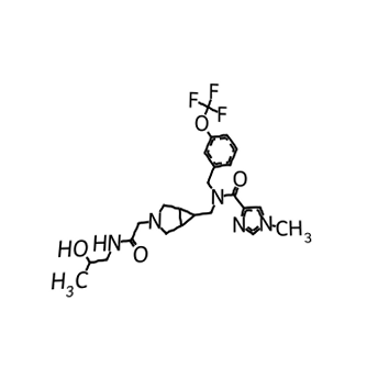 CC(O)CNC(=O)CN1CC2C(C1)C2CN(Cc1cccc(OC(F)(F)F)c1)C(=O)c1cn(C)cn1